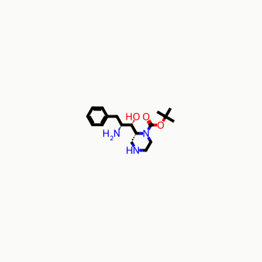 CC(C)(C)OC(=O)N1CCNC[C@@H]1[C@@H](O)[C@H](N)Cc1ccccc1